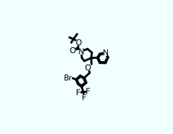 CC(C)(C)OC(=O)N1CCC(COCc2cc(Br)cc(C(F)(F)F)c2)(c2cccnc2)CC1